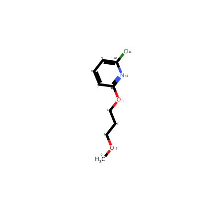 COCCCOc1[c]ccc(Cl)n1